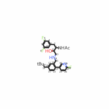 CC(=O)NC(Cc1cc(F)cc(F)c1)C(O)CNCc1cc(CC(C)(C)C)ccc1-c1ccc(F)nc1